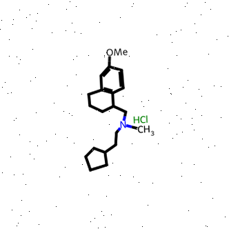 COc1ccc2c(c1)CCCC2CN(C)CCC1CCCC1.Cl